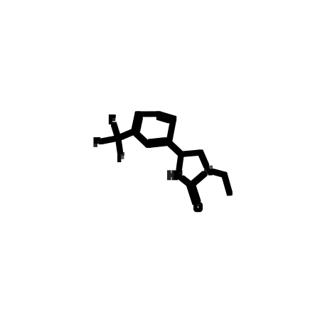 CCN1CC(c2cccc(C(F)(F)F)c2)NC1=O